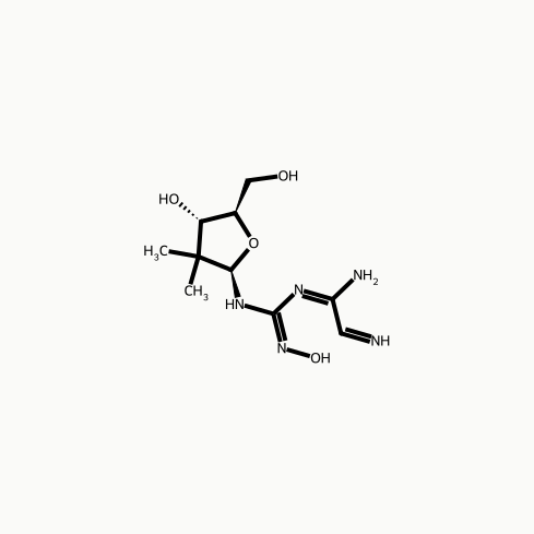 CC1(C)[C@H](NC(=N/O)/N=C(/N)C=N)O[C@H](CO)[C@H]1O